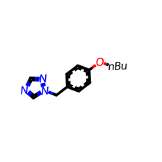 CCCCOc1ccc(Cn2cncn2)cc1